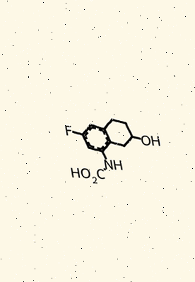 O=C(O)Nc1cc(F)cc2c1CC(O)CC2